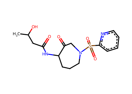 CC(O)[CH]C(=O)NC1CCCN(S(=O)(=O)c2ccccn2)CC1=O